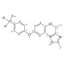 Cc1nc(C(C)Oc2ccc(Oc3ccc(C(F)(F)F)cc3)cc2)no1